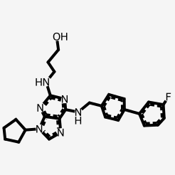 OCCCNc1nc(NCc2ccc(-c3cccc(F)c3)cc2)c2ncn(C3CCCC3)c2n1